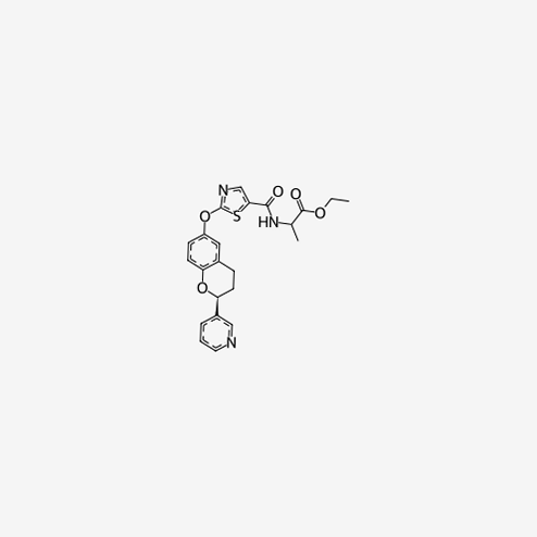 CCOC(=O)C(C)NC(=O)c1cnc(Oc2ccc3c(c2)CC[C@@H](c2cccnc2)O3)s1